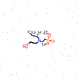 CCOP(=O)(CCN(CCO)CCC(=O)O)OCC